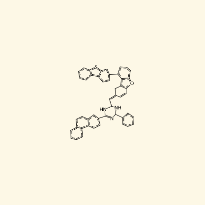 C1=Cc2oc3cccc(-c4ccc5c(c4)sc4ccccc45)c3c2C/C1=C/C1NC(c2ccc3c(ccc4ccccc43)c2)=NC(c2ccccc2)N1